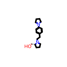 OC[C@H]1CCCN1CCc1ccc(N2CCCC2)cc1